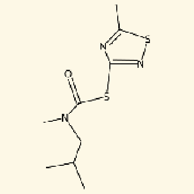 Cc1nc(SC(=O)N(C)CC(C)C)ns1